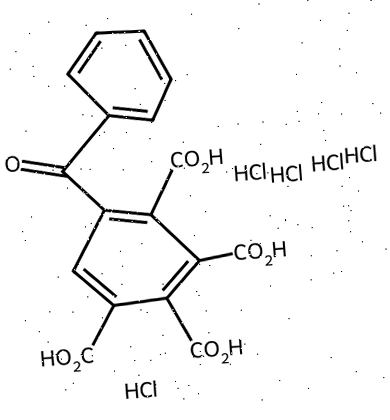 Cl.Cl.Cl.Cl.Cl.O=C(O)c1cc(C(=O)c2ccccc2)c(C(=O)O)c(C(=O)O)c1C(=O)O